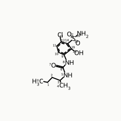 CCCC(C)NC(=O)Nc1ccc(Cl)c(S(N)(=O)=O)c1O